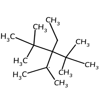 CCC([C](C)C)(C(C)(C)C)C(C)(C)C